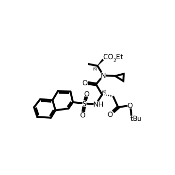 CCOC(=O)[C@H](C)N(C(=O)[C@H](CC(=O)OC(C)(C)C)NS(=O)(=O)c1ccc2ccccc2c1)C1CC1